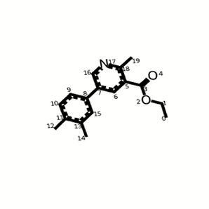 CCOC(=O)c1cc(-c2ccc(C)c(C)c2)cnc1C